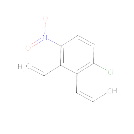 C=Cc1c([N+](=O)[O-])ccc(Cl)c1/C=C\C